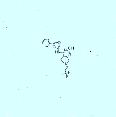 Cl.FC(F)(F)CCN1CCc2c(ncnc2NC2=COC=C(C3=CC=CCC3)O2)C1